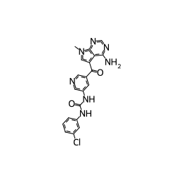 Cn1cc(C(=O)c2cncc(NC(=O)Nc3cccc(Cl)c3)c2)c2c(N)ncnc21